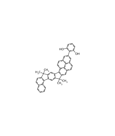 CC1(C)c2cc3c(cc2-c2c1ccc1ccccc21)C(C)(C)c1cc2ccc4cc(-c5c(O)cccc5O)cc5ccc(c1-3)c2c45